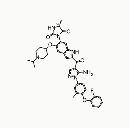 Cc1cc(-n2ncc(C(=O)c3cc4cc(OC5CCN(C(C)C)CC5)c(N5C(=O)N[C@@H](C)C5=O)cc4[nH]3)c2N)ccc1Oc1ccccc1F